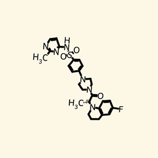 Cc1nccc(NS(=O)(=O)c2ccc(N3CCN(C(=O)[C@@H](C)N4CCCc5cc(F)ccc54)CC3)cc2)n1